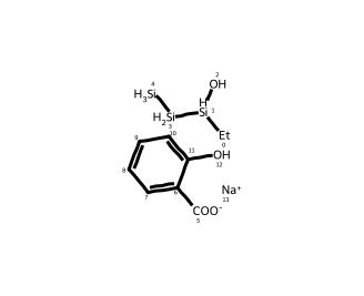 CC[SiH](O)[SiH2][SiH3].O=C([O-])c1ccccc1O.[Na+]